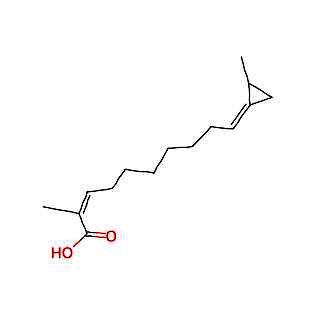 CC(=CCCCCCCC=C1CC1C)C(=O)O